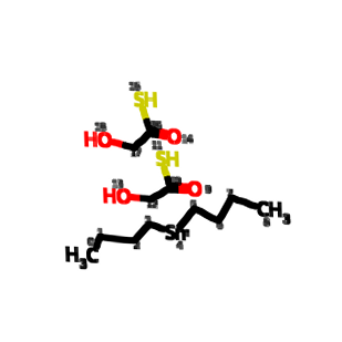 CCC[CH2][Sn][CH2]CCC.O=C(S)CO.O=C(S)CO